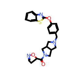 O=C(C1CC=NO1)N1CC2CN(Cc3ccc(Oc4nc5ccccc5s4)cc3)CC2C1